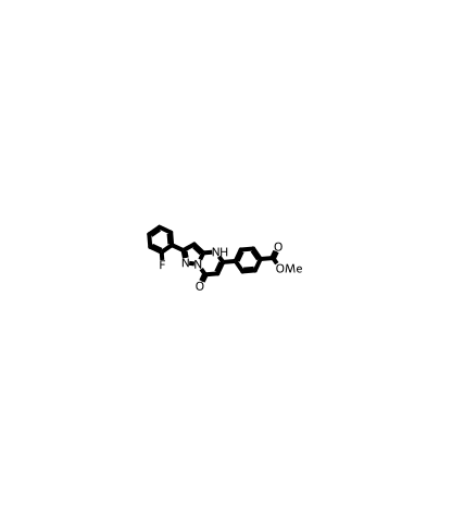 COC(=O)c1ccc(-c2cc(=O)n3nc(-c4ccccc4F)cc3[nH]2)cc1